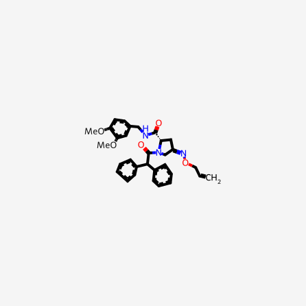 C=CCON=C1C[C@@H](C(=O)NCc2ccc(OC)c(OC)c2)N(C(=O)C(c2ccccc2)c2ccccc2)C1